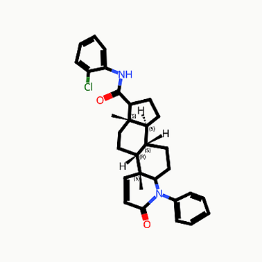 C[C@]12C=CC(=O)N(c3ccccc3)C1CC[C@@H]1[C@H]2CC[C@]2(C)C(C(=O)Nc3ccccc3Cl)CC[C@@H]12